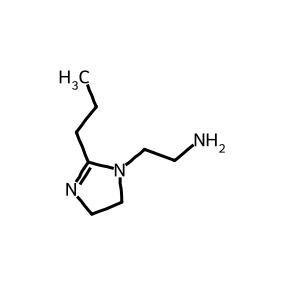 CCCC1=NCCN1CCN